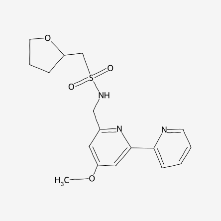 COc1cc(CNS(=O)(=O)CC2CCCO2)nc(-c2ccccn2)c1